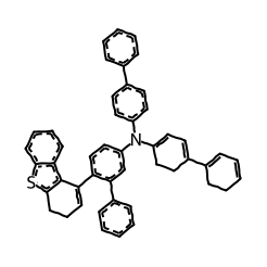 C1=CCCC(C2=CC=C(N(c3ccc(-c4ccccc4)cc3)c3ccc(C4=CCCc5sc6ccccc6c54)c(-c4ccccc4)c3)CC2)=C1